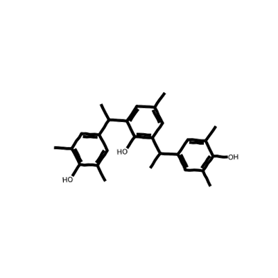 Cc1cc(C(C)c2cc(C)c(O)c(C)c2)c(O)c(C(C)c2cc(C)c(O)c(C)c2)c1